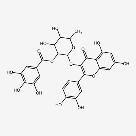 CC1OC(Oc2c(-c3ccc(O)c(O)c3)oc3cc(O)cc(O)c3c2=O)C(OC(=O)c2cc(O)c(O)c(O)c2)C(O)C1O